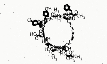 CC(=O)C(=O)[C@H](Cc1ccccc1)NN[C@]1(C)CCCCCCC=CCCC[C@@](C)(C(=O)CN[C@@H](C)C(=O)CN)NC(=O)[C@H](CC(C)C)NC(=O)C2(CC2)NN[C@@H](CCC(=O)O)C(=O)C(=O)[C@H](Cc2c[nH]c3cc(Cl)ccc23)NC(=O)[C@H](Cc2ccc(O)cc2)NCC(=O)[C@H](C)NCC1=O